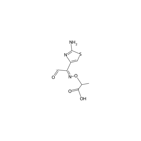 CC(O/N=C(/[C]=O)c1csc(N)n1)C(=O)O